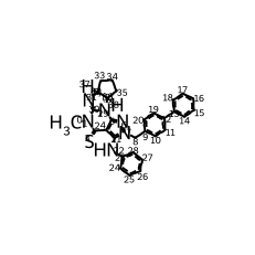 CN1C(=S)c2c(nn(Cc3ccc(-c4ccccc4)cc3)c2Nc2ccccc2)N2C1=N[C@@H]1CCC[C@@H]12